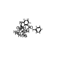 O=C(OCc1ccccc1)c1cccc2ncn(CC(O)(P(=O)(O)O)P(=O)(O)O)c12